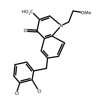 COCCn1cc(C(=O)O)c(=O)c2cc(Cc3cccc(Cl)c3Cl)ccc21